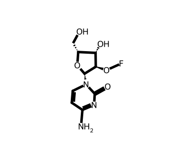 Nc1ccn([C@@H]2O[C@H](CO)[C@H](O)[C@H]2OF)c(=O)n1